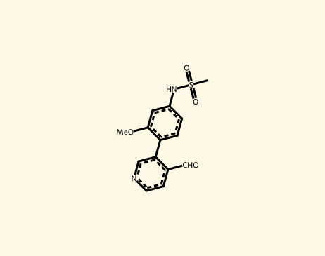 COc1cc(NS(C)(=O)=O)ccc1-c1cnccc1C=O